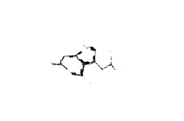 NC(Cc1c[nH]c2cc(Cl)cc(Br)c12)C(=O)O